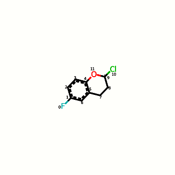 Fc1ccc2c(c1)CC[C](Cl)O2